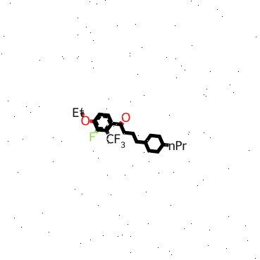 CCCC1CCC(CCCC(=O)c2ccc(OCC)c(F)c2C(F)(F)F)CC1